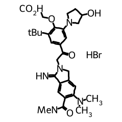 Br.CNC(=O)c1cc2c(cc1N(C)C)CN(CC(=O)c1cc(N3CCC(O)C3)c(OCC(=O)O)c(C(C)(C)C)c1)C2=N